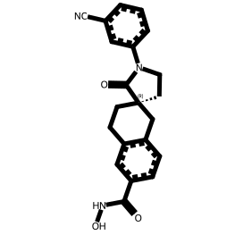 N#Cc1cccc(N2CC[C@]3(CCc4cc(C(=O)NO)ccc4C3)C2=O)c1